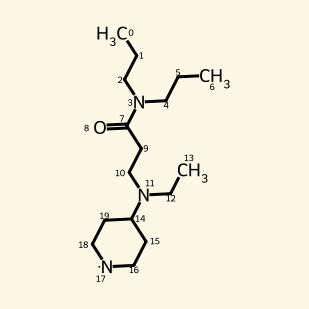 CCCN(CCC)C(=O)CCN(CC)C1CC[N]CC1